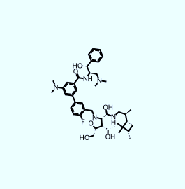 C[C@H](O)[C@@H]1[C@H](CO)ON(Cc2cc(-c3cc(C(=O)N[C@H](CN(C)C)[C@H](O)c4ccccc4)cc(N(C)C)c3)ccc2F)[C@@H]1C(O)NC[C@@H](C)[C@@H]1C[C@H](C)C1(C)C